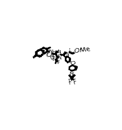 COC[C@@H](C)n1cc(-c2ncc(C(=O)NC3(C(=O)O)C(C)CC4CC(C)CC3C4)c(C(C)(F)F)n2)c2ccc(O[C@H]3CC[C@H](N4CC(F)(F)C4)CC3)cc21